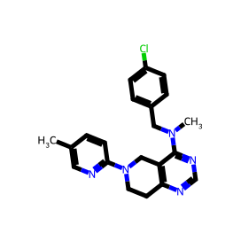 Cc1ccc(N2CCc3ncnc(N(C)Cc4ccc(Cl)cc4)c3C2)nc1